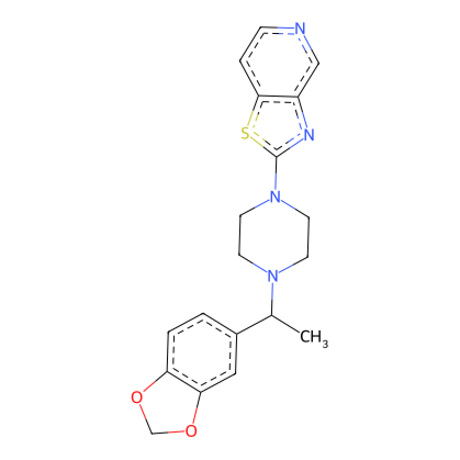 CC(c1ccc2c(c1)OCO2)N1CCN(c2nc3cnccc3s2)CC1